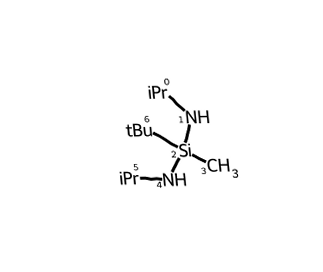 CC(C)N[Si](C)(NC(C)C)C(C)(C)C